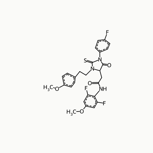 COc1ccc(CCN2C(=S)N(c3ccc(F)cc3)C(=O)C2CC(=O)Nc2c(F)cc(OC)cc2F)cc1